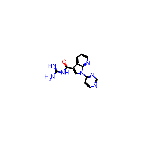 N=C(N)NC(=O)c1cn(-c2ccncn2)c2ncccc12